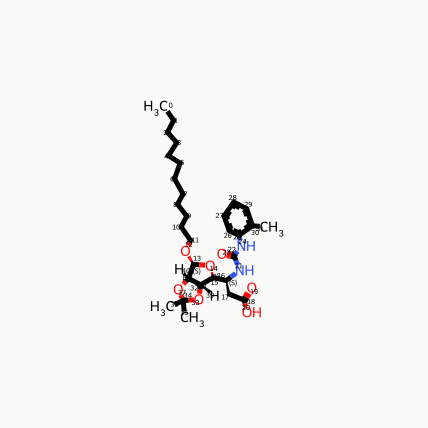 CCCCCCCCCCCCO[C@H]1O[C@H]([C@H](CC(=O)O)NC(=O)Nc2ccccc2C)[C@@H]2OC(C)(C)O[C@H]12